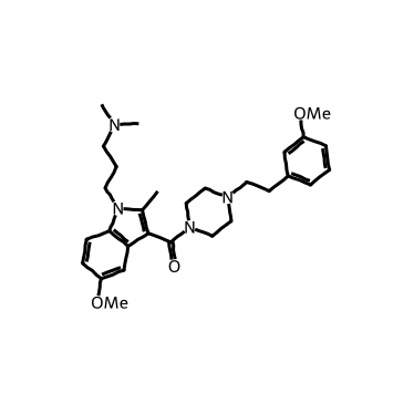 COc1cccc(CCN2CCN(C(=O)c3c(C)n(CCCN(C)C)c4ccc(OC)cc34)CC2)c1